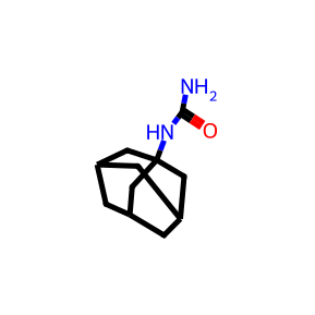 NC(=O)NC12CC3CC(CC(C3)C1)C2